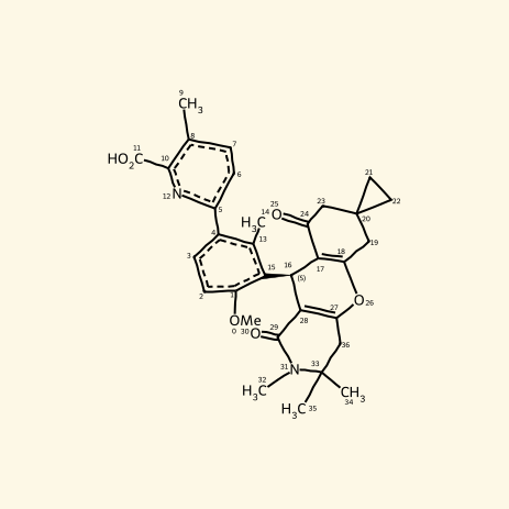 COc1ccc(-c2ccc(C)c(C(=O)O)n2)c(C)c1[C@H]1C2=C(CC3(CC3)CC2=O)OC2=C1C(=O)N(C)C(C)(C)C2